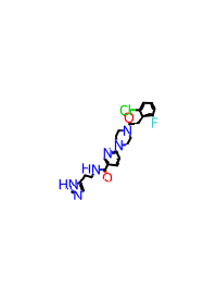 O=C(NCCc1cnc[nH]1)c1ccc(N2CCN(C(=O)Cc3c(F)cccc3Cl)CC2)nc1